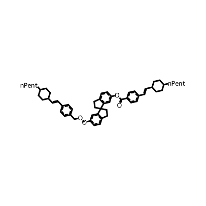 CCCCCC1CCC(/C=C/c2ccc(COOc3ccc4c(c3)C3(CC4)CCc4ccc(OC(=O)c5ccc(/C=C/C6CCC(CCCCC)CC6)cc5)cc43)cc2)CC1